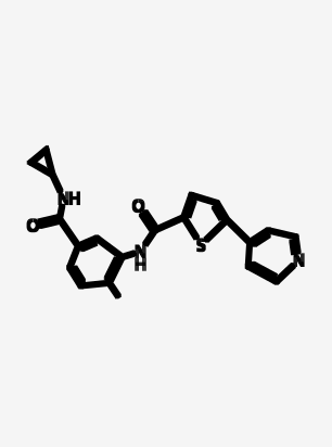 Cc1ccc(C(=O)NC2CC2)cc1NC(=O)c1ccc(-c2ccncc2)s1